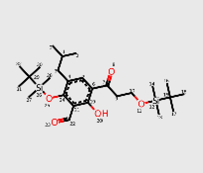 CC(C)Cc1cc(C(=O)CCO[Si](C)(C)C(C)(C)C)c(O)c(C=O)c1O[Si](C)(C)C(C)(C)C